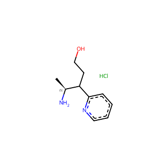 C[C@H](N)C(CCO)c1ccccn1.Cl